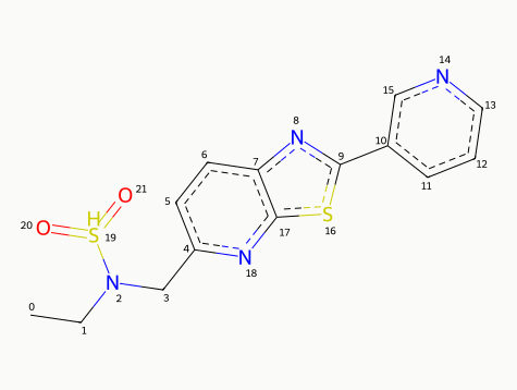 CCN(Cc1ccc2nc(-c3cccnc3)sc2n1)[SH](=O)=O